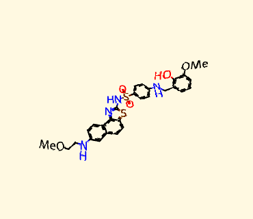 COCCNc1ccc2c(ccc3sc(NS(=O)(=O)c4ccc(NCc5cccc(OC)c5O)cc4)nc32)c1